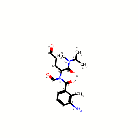 Cc1c(N)cccc1C(=O)N(C=O)C(CCC=O)C(=O)N(C)C(C)C